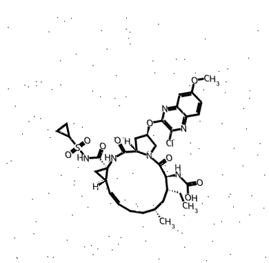 CC[C@@H]1C[C@H](C)CC/C=C\[C@@H]2C[C@@]2(C(=O)NS(=O)(=O)C2CC2)NC(=O)[C@@H]2C[C@@H](Oc3nc4cc(OC)ccc4nc3Cl)CN2C(=O)[C@H]1NC(=O)O